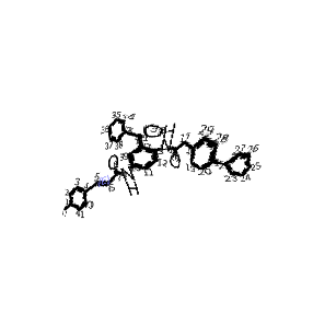 Cc1ccc(/C=C/C(=O)Nc2ccc(NC(=O)Cc3ccc(-c4ccccc4)cc3)c(C(=O)c3ccccc3)c2)cc1